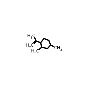 C=C(C)C1CCC(C)CC1C